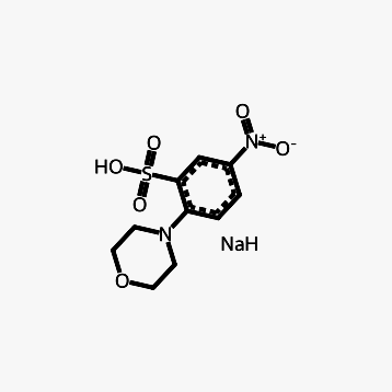 O=[N+]([O-])c1ccc(N2CCOCC2)c(S(=O)(=O)O)c1.[NaH]